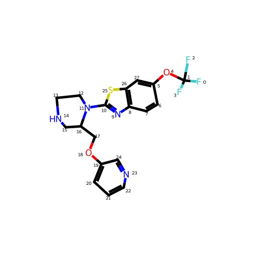 FC(F)(F)Oc1ccc2nc(N3CCNCC3COc3cccnc3)sc2c1